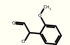 COc1ccccc1C(Cl)C=O